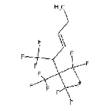 CCC=CC(C(F)(F)F)C(C(F)(F)F)(C(F)(F)F)C(F)(F)F